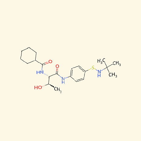 C[C@@H](O)[C@H](NC(=O)C1CCCCC1)C(=O)Nc1ccc(SNC(C)(C)C)cc1